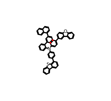 c1cc(-c2ccccc2N(c2ccc(-c3ccc4oc5ccccc5c4c3)cc2)c2ccc(-c3cccc4c3sc3ccccc34)cc2)cc(-c2cccc3ccccc23)c1